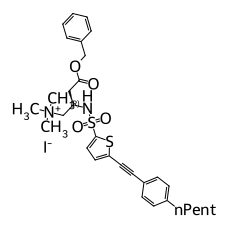 CCCCCc1ccc(C#Cc2ccc(S(=O)(=O)N[C@H](CC(=O)OCc3ccccc3)C[N+](C)(C)C)s2)cc1.[I-]